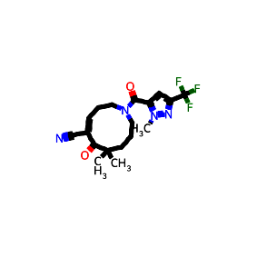 Cn1nc(C(F)(F)F)cc1C(=O)N1CC/C=C(/C#N)C(=O)C(C)(C)CCC1